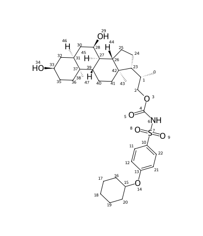 C[C@H](COC(=O)NS(=O)(=O)c1ccc(OC2CCCCC2)cc1)[C@H]1CC[C@H]2[C@@H]3[C@H](O)C[C@@H]4C[C@H](O)CC[C@]4(C)[C@H]3CC[C@]12C